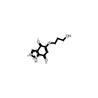 O=C1C(SCCCO)=CC(=O)c2[nH]ncc21